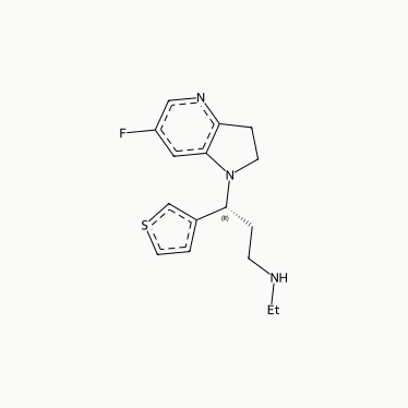 CCNCC[C@H](c1ccsc1)N1CCc2ncc(F)cc21